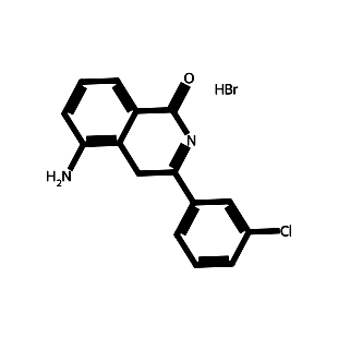 Br.Nc1cccc2c1CC(c1cccc(Cl)c1)=NC2=O